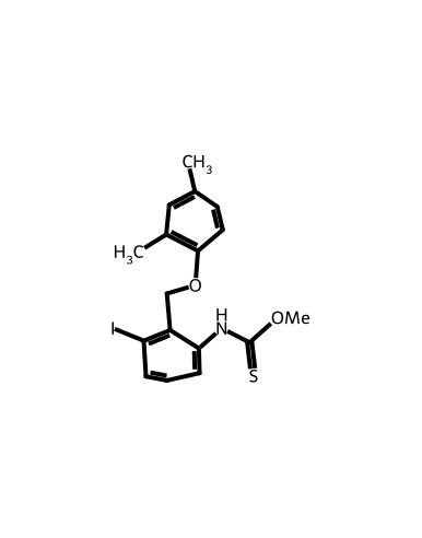 COC(=S)Nc1cccc(I)c1COc1ccc(C)cc1C